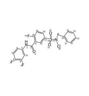 O=C(Nc1ccc(F)c(F)c1)c1cc(S(=O)(=O)N(Cl)Cc2ccccc2)ccc1F